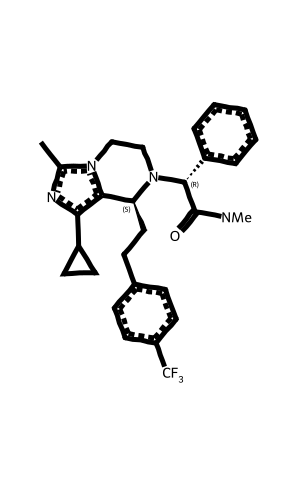 CNC(=O)[C@@H](c1ccccc1)N1CCn2c(C)nc(C3CC3)c2[C@@H]1CCc1ccc(C(F)(F)F)cc1